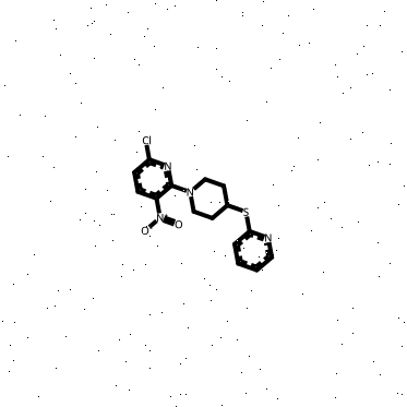 O=[N+]([O-])c1ccc(Cl)nc1N1CCC(Sc2ccccn2)CC1